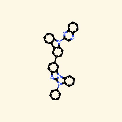 c1ccc(-n2c3ccccc3n3c4cc(-c5ccc6c(c5)c5ccccc5n6-c5cnc6ccccc6n5)ccc4nc23)cc1